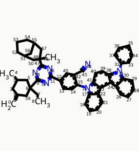 C=C1CC(C)CC(CC)(c2nc(-c3ccc(-n4c5ccccc5c5c6c7ccccc7n(-c7ccccc7)c6ccc54)c(C#N)c3)nc(C3(C)CC4CCCC(C4)C3)n2)C1